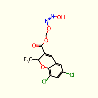 O=C(OCO/N=N\O)C1=Cc2cc(Cl)cc(Cl)c2OC1C(F)(F)F